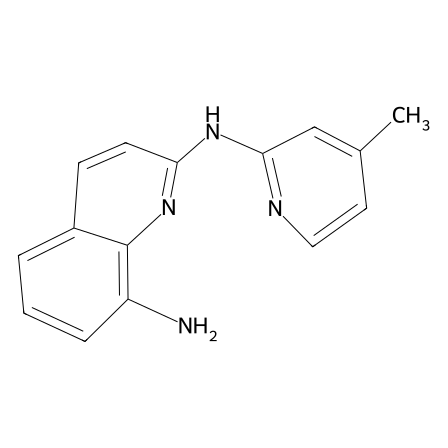 Cc1ccnc(Nc2ccc3cccc(N)c3n2)c1